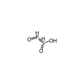 O=[PH]=[SH](=O)O